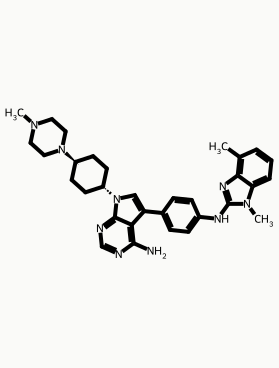 Cc1cccc2c1nc(Nc1ccc(-c3cn([C@H]4CC[C@H](N5CCN(C)CC5)CC4)c4ncnc(N)c34)cc1)n2C